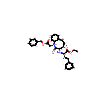 CCOC(=O)[C@H](CCc1ccccc1)N[C@@H]1CCCc2ccccc2N(CC(=O)OCc2ccccc2)C1=O